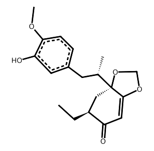 CC[C@H]1C[C@]2([C@@H](C)Cc3ccc(OC)c(O)c3)OCOC2=CC1=O